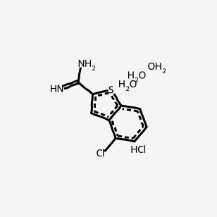 Cl.N=C(N)c1cc2c(Cl)cccc2s1.O.O.O